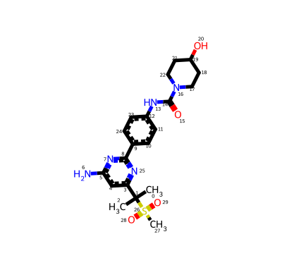 CC(C)(c1cc(N)nc(-c2ccc(NC(=O)N3CCC(O)CC3)cc2)n1)S(C)(=O)=O